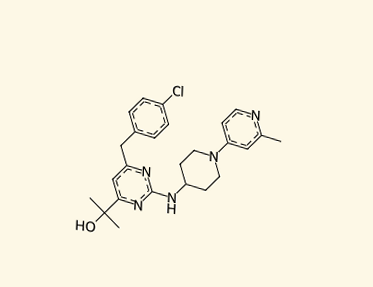 Cc1cc(N2CCC(Nc3nc(Cc4ccc(Cl)cc4)cc(C(C)(C)O)n3)CC2)ccn1